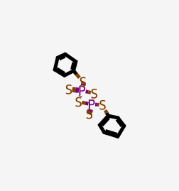 S=P1(Sc2ccccc2)SP(=S)(Sc2ccccc2)S1